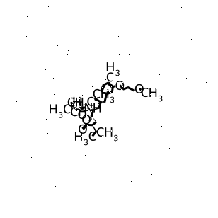 COCCCOc1cc(C[C@@H](C[C@H](NC(=O)OC(C)(C)C)[C@@H]2C[C@@H](C(C)C)C(=O)O2)C(C)C)ccc1C